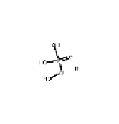 O=P(O)(O)OO.[Th]